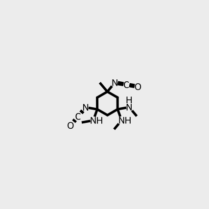 CNC1(N=C=O)CC(C)(N=C=O)CC(NC)(NC)C1